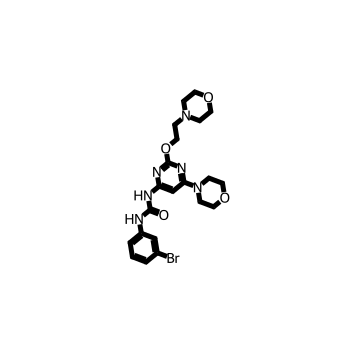 O=C(Nc1cccc(Br)c1)Nc1cc(N2CCOCC2)nc(OCCN2CCOCC2)n1